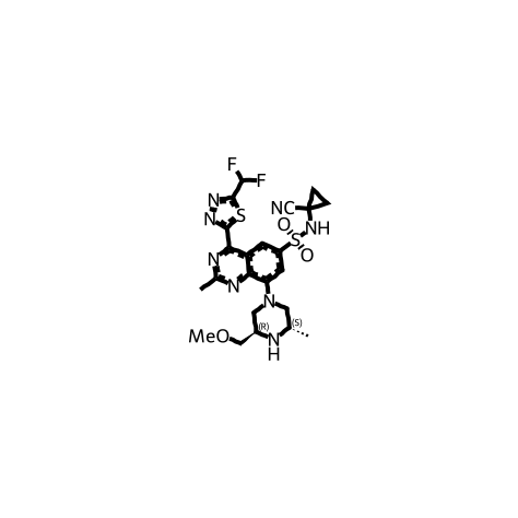 COC[C@H]1CN(c2cc(S(=O)(=O)NC3(C#N)CC3)cc3c(-c4nnc(C(F)F)s4)nc(C)nc23)C[C@H](C)N1